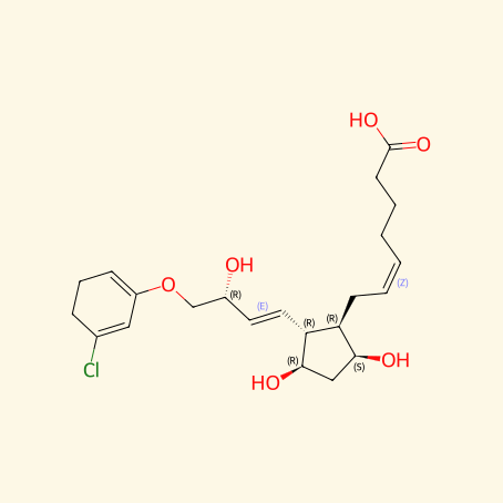 O=C(O)CCC/C=C\C[C@@H]1[C@@H](/C=C/[C@@H](O)COC2=CCCC(Cl)=C2)[C@H](O)C[C@@H]1O